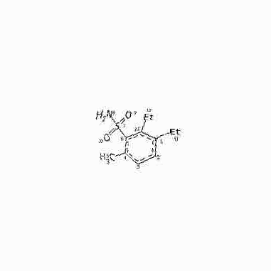 CCc1ccc(C)c(S(N)(=O)=O)c1CC